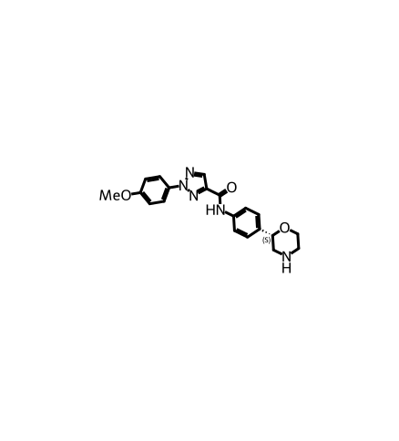 COc1ccc(-n2ncc(C(=O)Nc3ccc([C@H]4CNCCO4)cc3)n2)cc1